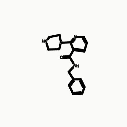 O=C(NCc1ccccc1)c1cccnc1N1CCNCC1